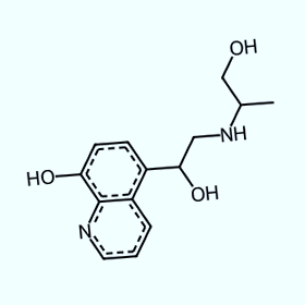 CC(CO)NCC(O)c1ccc(O)c2ncccc12